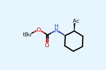 CC(=O)[C@H]1CCCC[C@H]1NC(=O)OC(C)(C)C